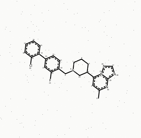 Cc1cc(C2CCCN(Cc3ccc(-c4ccccc4Cl)cc3F)C2)n2ncnc2n1